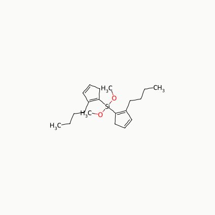 CCCCC1=C([Si](OC)(OC)C2=C(CCCC)C=CC2)CC=C1